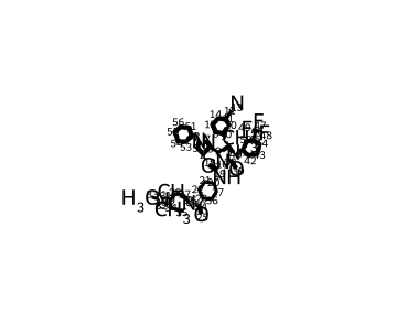 Cc1c(-c2ccnn2-c2ccc(C#N)cc2)n(C(=O)N[C@H]2CC[C@H](C(=O)N3CCC([N+](C)(C)C)CC3)CC2)c(=O)n1-c1cccc(C(F)(F)F)c1.c1ccccc1